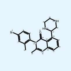 Cc1cc(Br)ccc1-n1c(C)nc2cccc(C3CNCCN3)c2c1=O